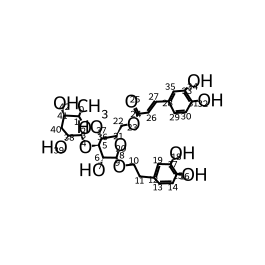 CC1O[C@@H](O[C@@H]2[C@@H](O)[C@H](OCCc3ccc(O)c(O)c3)O[C@H](COC(=O)/C=C/c3ccc(O)c(O)c3)[C@H]2O)[C@H](O)C[C@H]1O